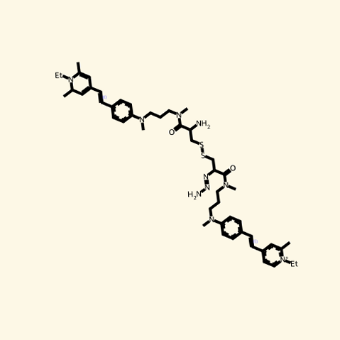 CCN1C(C)=CC(/C=C/c2ccc(N(C)CCCN(C)C(=O)C(N)CSSCC(N=NN)C(=O)N(C)CCCN(C)c3ccc(/C=C/c4cc[n+](CC)c(C)c4)cc3)cc2)=CC1C